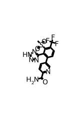 CS(=O)(=O)c1c(C(F)(F)F)ccc(-c2ccc(C(N)=O)nc2)c1-c1nn[nH]n1